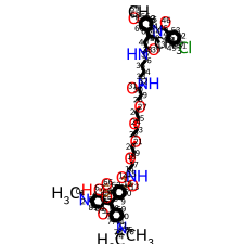 CC/N=c1\ccc2c(-c3ccc(S(=O)(=O)NCCOCCOCCOCCOCCC(=O)NCCCCNC(=O)Cc4c(C)n(C(=O)c5ccc(Cl)cc5)c5ccc(OC)cc45)cc3S(=O)(=O)O)c3ccc(N(CC)CC)cc3oc-2c1